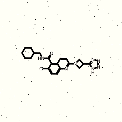 O=C(NCC1CCCCC1)c1c(Cl)ccc2nc(N3CC(c4nnn[nH]4)C3)ccc12